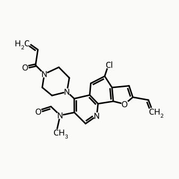 C=CC(=O)N1CCN(c2c(N(C)C=O)cnc3c2cc(Cl)c2cc(C=C)oc23)CC1